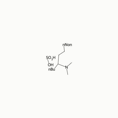 CCCCCCCCCCCC(CCCC)N(C)C.O=S(=O)(O)O